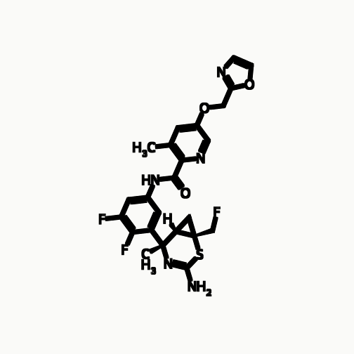 Cc1cc(OCc2ncco2)cnc1C(=O)Nc1cc(F)c(F)c([C@@]2(C)N=C(N)S[C@@]3(CF)C[C@H]32)c1